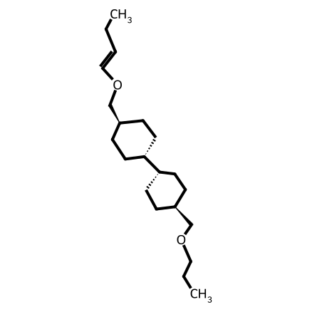 CCC=COC[C@H]1CC[C@H]([C@H]2CC[C@H](COCCC)CC2)CC1